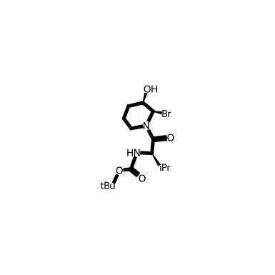 CC(C)[C@@H](NC(=O)OC(C)(C)C)C(=O)N1CCC[C@@H](O)[C@H]1Br